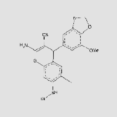 CCNc1cc2c(cc1C)C(c1cc(OC)c3c(c1)OCO3)C(C#N)=C(N)O2